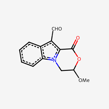 COC1Cn2c(c(C=O)c3ccccc32)C(=O)O1